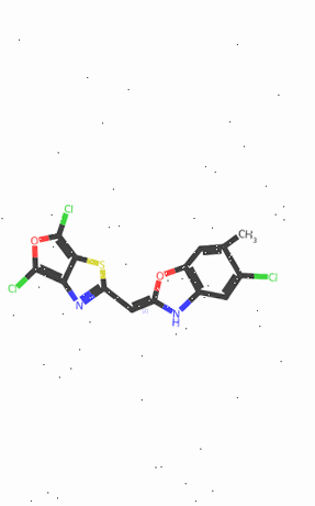 Cc1cc2c(cc1Cl)N/C(=C/c1nc3c(Cl)oc(Cl)c3s1)O2